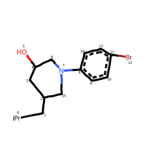 CC(C)CC1CC(O)CN(c2ccc(Br)cc2)C1